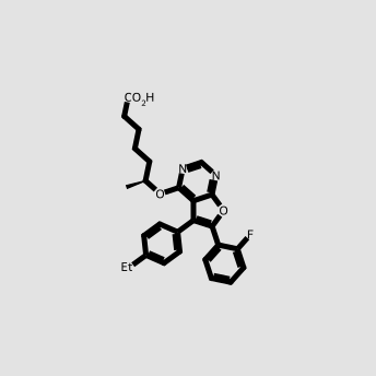 CCc1ccc(-c2c(-c3ccccc3F)oc3ncnc(O[C@@H](C)CCCCC(=O)O)c23)cc1